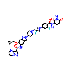 O=C1CCC(NC(=O)c2ccc(N3CC(F)(CN4CCC(n5cc6cc(NC(=O)c7cnn8cccnc78)c(OCC7CC7)cc6n5)CC4)C3)cc2F)C(=O)N1